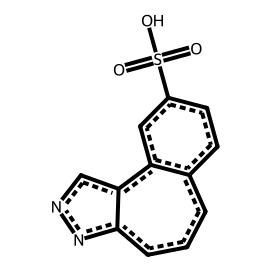 O=S(=O)(O)c1ccc2cccc3nncc-3c2c1